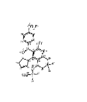 CCOC(=O)c1ccc([C@H](O)c2c(C(C)C)nc3c(c2C2C=CCC2)C(O[Si](C)(C)C(C)(C)C)CC(C)(C)C3)cc1